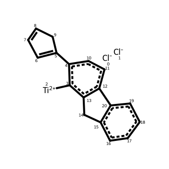 [Cl-].[Cl-].[Ti+2][c]1c(C2=CC=CC2)ccc2c1Cc1ccccc1-2